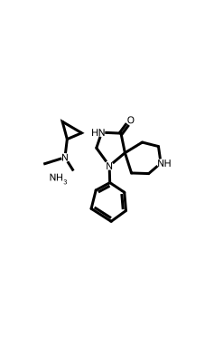 CN(C)C1CC1.N.O=C1NCN(c2ccccc2)C12CCNCC2